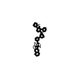 c1cc(-c2cccc(-n3c4ccccc4c4c5sc6ccccc6c5ccc43)c2)cc(-c2cnc3c(n2)oc2cc4ccccc4cc23)c1